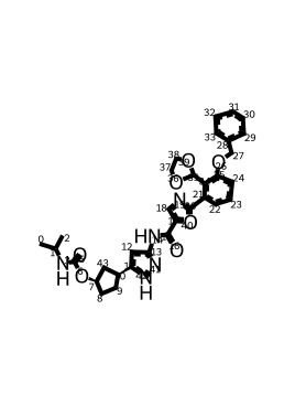 CC(C)NC(=O)O[C@@H]1CC[C@H](c2cc(NC(=O)c3cnc(-c4cccc(OCc5ccccc5)c4C4OCCO4)o3)n[nH]2)C1